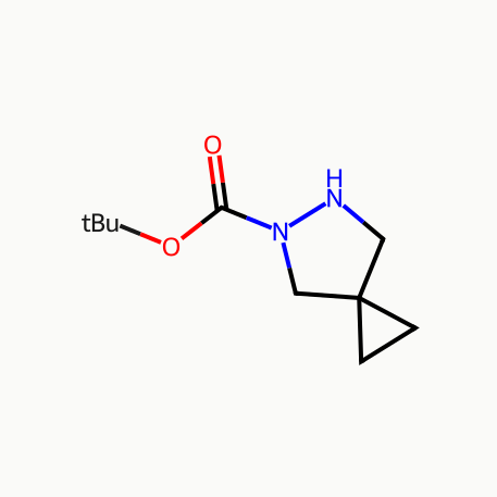 CC(C)(C)OC(=O)N1CC2(CC2)CN1